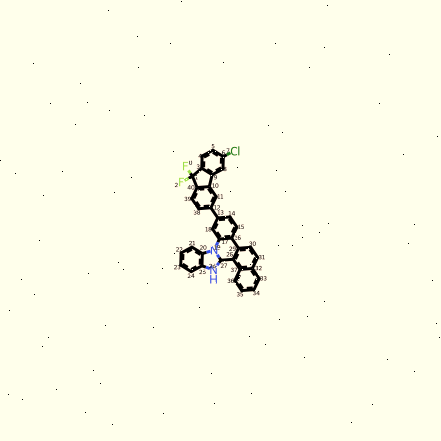 FC1(F)c2ccc(Cl)cc2-c2cc(-c3ccc4c(c3)N3c5ccccc5NC3c3c-4ccc4ccccc34)ccc21